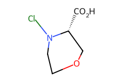 O=C(O)[C@@H]1COCCN1Cl